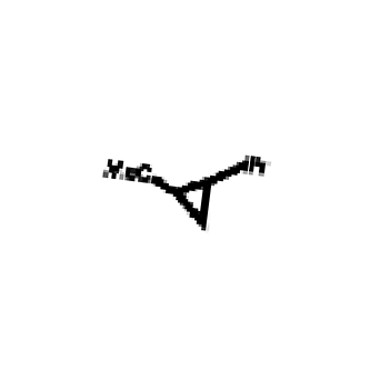 COC1CC1C(C)C